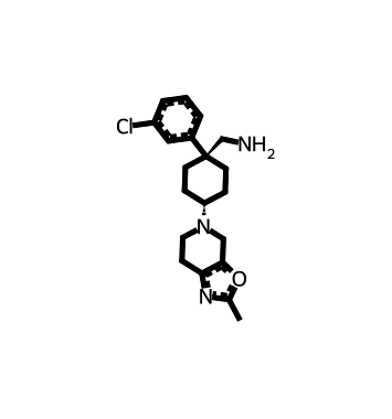 Cc1nc2c(o1)CN([C@H]1CC[C@@](CN)(c3cccc(Cl)c3)CC1)CC2